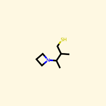 CC(CS)C(C)N1CCC1